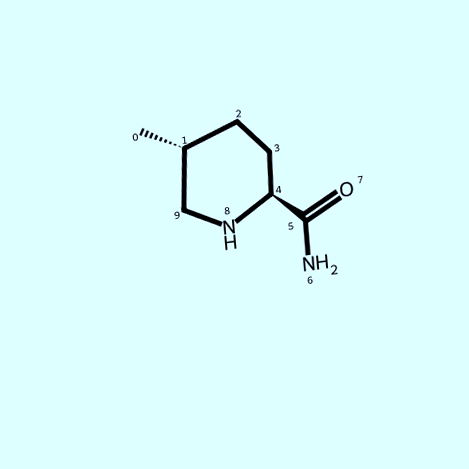 C[C@@H]1CC[C@@H](C(N)=O)NC1